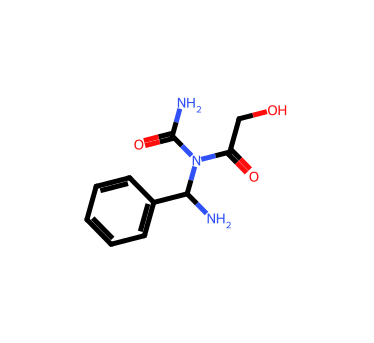 NC(=O)N(C(=O)CO)C(N)c1ccccc1